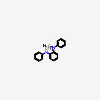 CN(c1ccccc1)c1ccccc1N(C)c1ccccc1